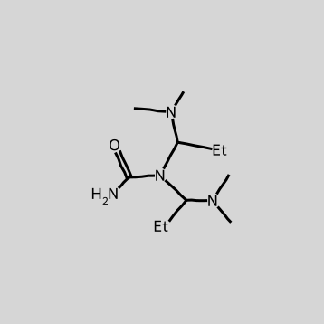 CCC(N(C)C)N(C(N)=O)C(CC)N(C)C